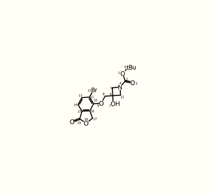 CC(C)(C)OC(=O)N1CC(O)(COc2c(Br)ccc3c2COC3=O)C1